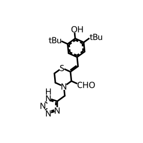 CC(C)(C)c1cc(C=C2SCCN(Cc3nnn[nH]3)C2C=O)cc(C(C)(C)C)c1O